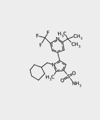 Cc1c(S(N)(=O)=O)cc(-c2cc(C(C)(C)C)nc(C(F)(F)F)c2)n1CC1CCCCC1